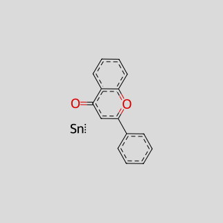 O=c1cc(-c2ccccc2)oc2ccccc12.[Sn]